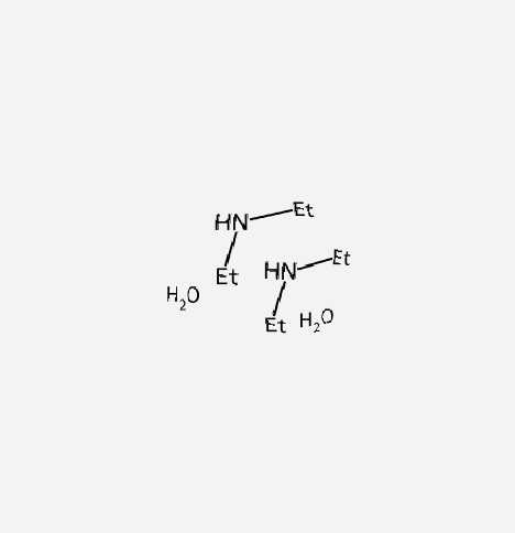 CCNCC.CCNCC.O.O